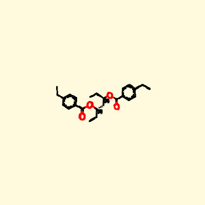 CCc1ccc(C(=O)O[C@H](CC)C[C@H](CC)OC(=O)c2ccc(CC)cc2)cc1